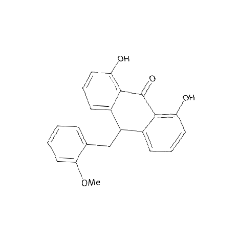 COc1ccccc1CC1c2cccc(O)c2C(=O)c2c(O)cccc21